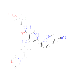 CC(C)(O)C(F)CNC(=O)c1cnc(-c2ccc3cc(C#N)cnn23)cc1NC1CC(CN2CCOCC2)C1